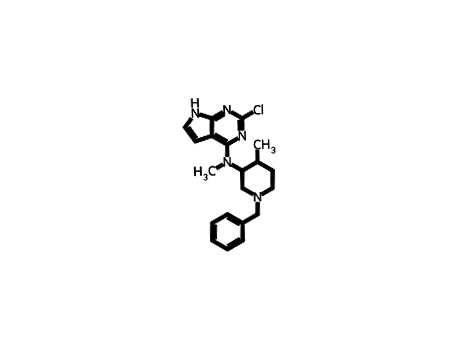 CC1CCN(Cc2ccccc2)CC1N(C)c1nc(Cl)nc2[nH]ccc12